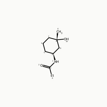 CCC(=O)N[C@H]1CCC[C@](C)(O)C1